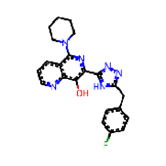 Oc1c(-c2nnc(Cc3ccc(F)cc3)[nH]2)nc(N2CCCCC2)c2cccnc12